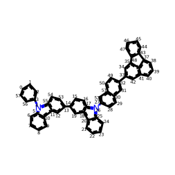 c1ccc(-n2c3ccccc3c3cc(-c4ccc5c(c4)c4ccccc4n5-c4ccc5cc(-c6cc7c8c(cccc8c6)-c6ccccc6-7)ccc5c4)ccc32)cc1